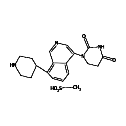 CS(=O)(=O)O.O=C1CCN(c2cncc3c(C4CCNCC4)cccc23)C(=O)N1